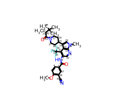 COc1ccc(C(=O)Nc2cnc3c(c(C4CCN(C(=O)[C@H](C)C(C)(C)C)CC4)cn3C)c2C(F)(F)F)cc1C#N